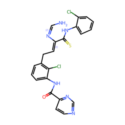 N/C=N\C(=C/Cc1cccc(NC(=O)c2ccncn2)c1Cl)C(=S)Nc1ccccc1Cl